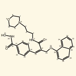 O=C(NCCCN1CCOCC1)C(=Cc1ccc(C(=O)NO)cc1)COc1cccc2ccccc12